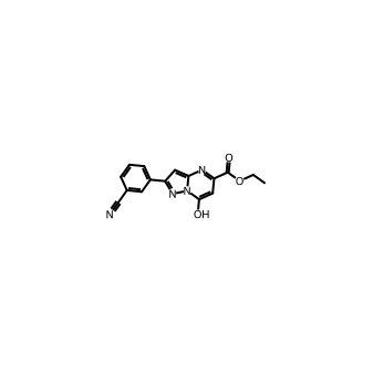 CCOC(=O)c1cc(O)n2nc(-c3cccc(C#N)c3)cc2n1